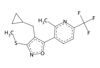 CSc1noc(-c2ccc(C(F)(F)F)nc2C)c1CC1CC1